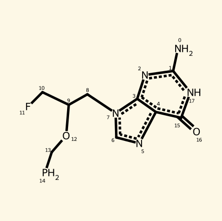 Nc1nc2c(ncn2CC(CF)OCP)c(=O)[nH]1